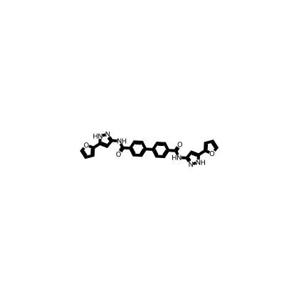 O=C(Nc1cc(-c2ccco2)[nH]n1)c1ccc(-c2ccc(C(=O)Nc3cc(-c4ccco4)[nH]n3)cc2)cc1